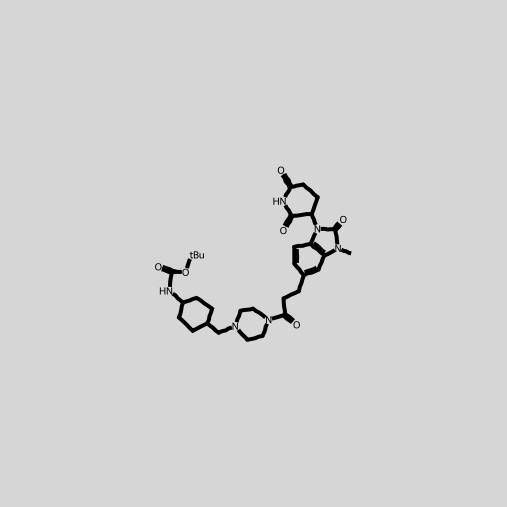 Cn1c(=O)n(C2CCC(=O)NC2=O)c2ccc(CCC(=O)N3CCN(CC4CCC(NC(=O)OC(C)(C)C)CC4)CC3)cc21